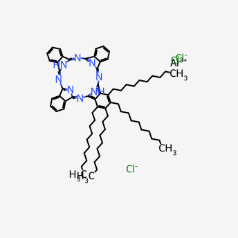 CCCCCCCCCCc1c(CCCCCCCCCC)c(CCCCCCCCCC)c2c3nc4nc(nc5[nH]c(nc6nc(nc([nH]3)c2c1CCCCCCCCCC)-c1ccccc1-6)c1ccccc51)-c1ccccc1-4.[Al+3].[Cl-].[Cl-].[Cl-]